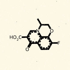 CC1COc2c(F)ccc3c(=O)c(C(=O)O)cn1c23